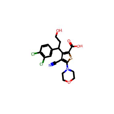 N#Cc1c(N2CCOCC2)sc(C(=O)O)c1C(CCO)c1ccc(Cl)c(Cl)c1